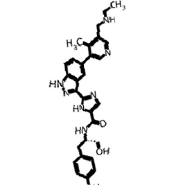 CCNCc1cncc(-c2ccc3[nH]nc(-c4ncc(C(=O)N[C@H](CO)Cc5ccc(O)cc5)[nH]4)c3c2)c1C